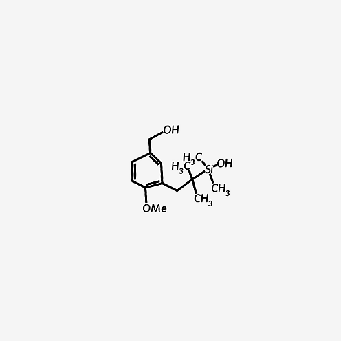 COc1ccc(CO)cc1CC(C)(C)[Si](C)(C)O